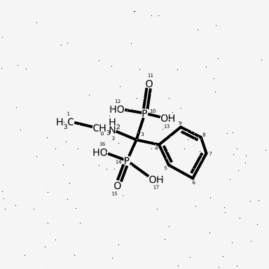 CC.NC(c1ccccc1)(P(=O)(O)O)P(=O)(O)O